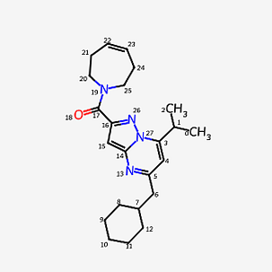 CC(C)c1cc(CC2CCCCC2)nc2cc(C(=O)N3CCC=CCC3)nn12